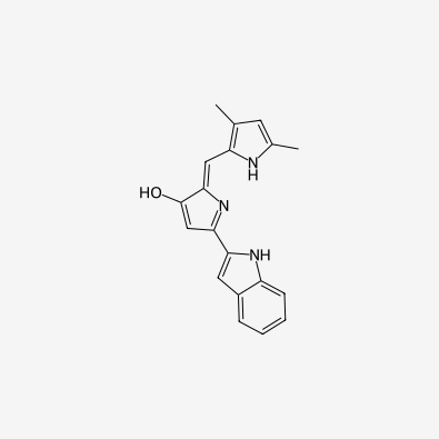 Cc1cc(C)c(C=C2N=C(c3cc4ccccc4[nH]3)C=C2O)[nH]1